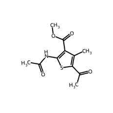 COC(=O)c1c(NC(C)=O)sc(C(C)=O)c1C